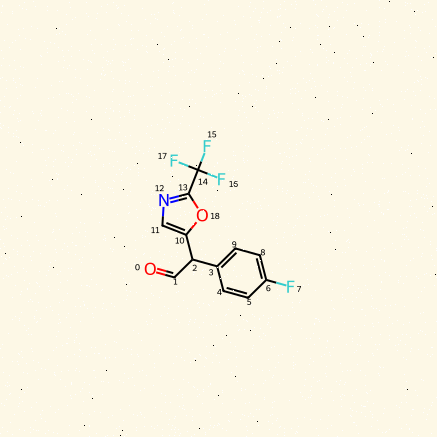 O=CC(c1ccc(F)cc1)c1cnc(C(F)(F)F)o1